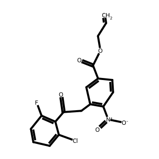 C=CCOC(=O)c1ccc([N+](=O)[O-])c(CC(=O)c2c(F)cccc2Cl)c1